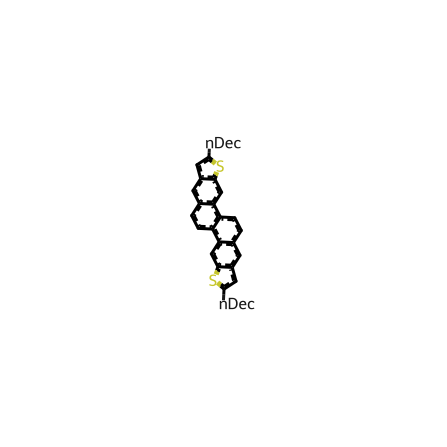 CCCCCCCCCCc1cc2cc3ccc4c5cc6sc(CCCCCCCCCC)cc6cc5ccc4c3cc2s1